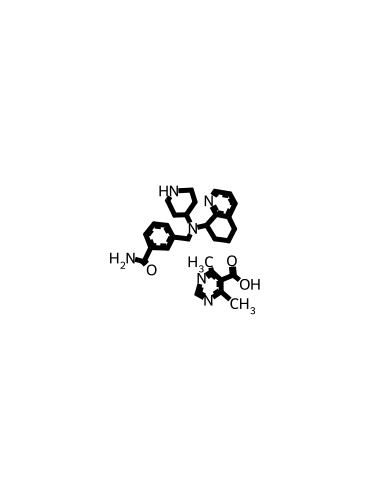 Cc1ncnc(C)c1C(=O)O.NC(=O)c1cccc(CN(C2CCNCC2)C2CCCc3cccnc32)c1